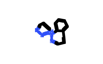 C1=Cc2ccccc2NN=C1.c1cnnnc1